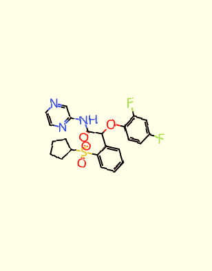 O=C(Nc1cnccn1)C(Oc1ccc(F)cc1F)c1ccccc1S(=O)(=O)C1CCCC1